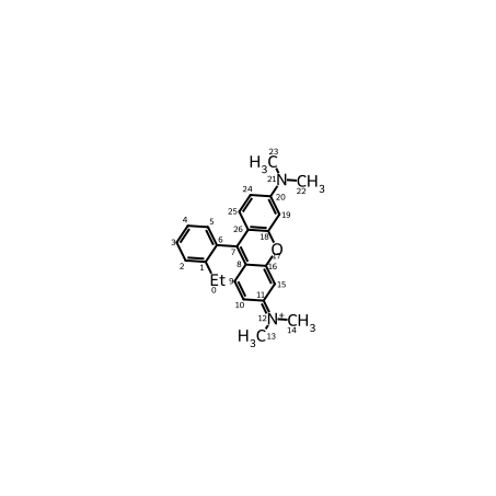 CCc1ccccc1-c1c2ccc(=[N+](C)C)cc-2oc2cc(N(C)C)ccc12